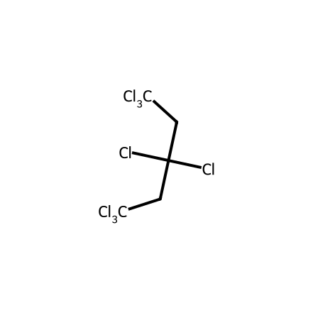 ClC(Cl)(Cl)CC(Cl)(Cl)CC(Cl)(Cl)Cl